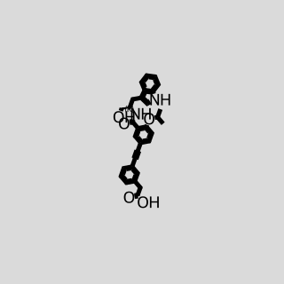 CC(C)Oc1ccc(C#Cc2cccc(CC(=O)O)c2)cc1C(=O)N[C@@H](CO)Cc1c[nH]c2ccccc12